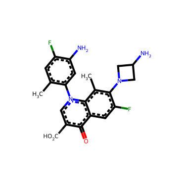 Cc1cc(F)c(N)cc1-n1cc(C(=O)O)c(=O)c2cc(F)c(N3CC(N)C3)c(C)c21